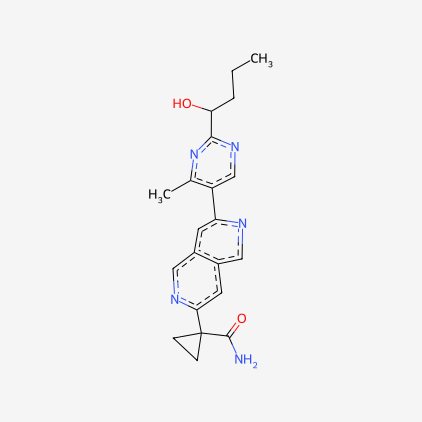 CCCC(O)c1ncc(-c2cc3cnc(C4(C(N)=O)CC4)cc3cn2)c(C)n1